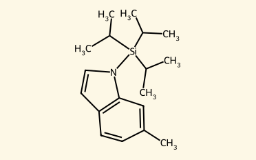 Cc1ccc2ccn([Si](C(C)C)(C(C)C)C(C)C)c2c1